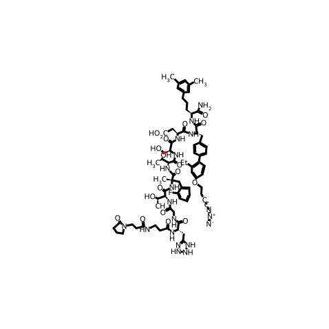 CCc1cc(OCCCCN=[N+]=[N-])ccc1-c1ccc(C[C@H](NC(=O)[C@H](CC(=O)O)NC(=O)[C@H](CO)NC(=O)[C@@H](NC(=O)[C@](C)(Cc2ccccc2F)NC(=O)[C@@H](NC(=O)CNC(=O)[C@H](CC2=NNNN2)NC(=O)CCNC(=O)CCN2CCCC2=O)[C@@H](C)O)[C@@H](C)O)C(=O)N[C@@H](CCCc2cc(C)cc(C)c2)C(N)=O)cc1